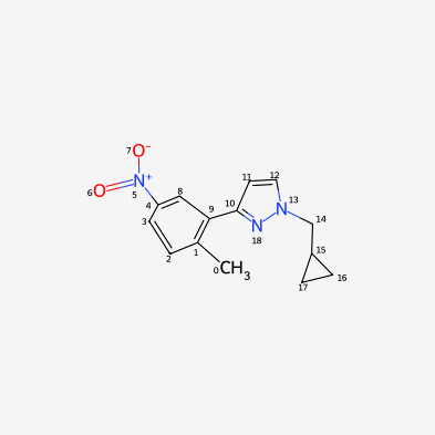 Cc1ccc([N+](=O)[O-])cc1-c1ccn(CC2CC2)n1